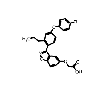 CCCc1cc(Oc2ccc(Cl)cc2)ccc1-c1noc2ccc(OCC(=O)O)cc12